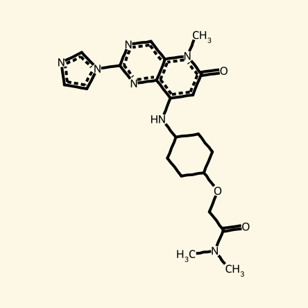 CN(C)C(=O)COC1CCC(Nc2cc(=O)n(C)c3cnc(-n4ccnc4)nc23)CC1